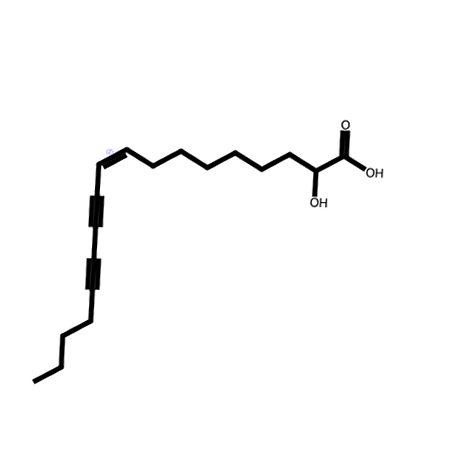 CCCCC#CC#C/C=C\CCCCCCC(O)C(=O)O